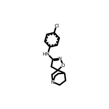 Clc1ccc(NC2=NOC3(C2)CN2CCC3CC2)cc1